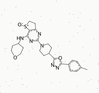 Cc1ccc(-c2nnc(C3CCN(c4nc5c(c(NC6CCOCC6)n4)[S+]([O-])CC5)CC3)o2)cc1